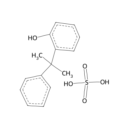 CC(C)(c1ccccc1)c1ccccc1O.O=S(=O)(O)O